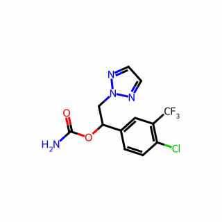 NC(=O)OC(Cn1nccn1)c1ccc(Cl)c(C(F)(F)F)c1